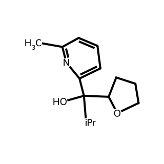 Cc1cccc(C(O)(C(C)C)C2CCCO2)n1